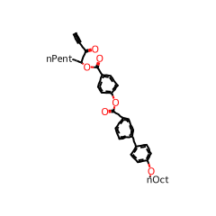 C#CC(=O)C(CCCCC)OC(=O)c1ccc(OC(=O)c2ccc(-c3ccc(OCCCCCCCC)cc3)cc2)cc1